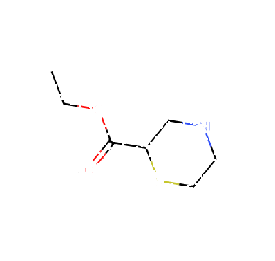 CCOC(=O)[C]1CNCCS1